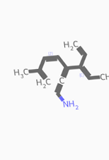 C=C/C(=C\C)C(=C=CN)/C=C\C(=C)C